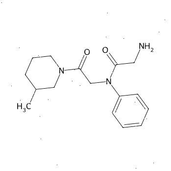 CC1CCCN(C(=O)CN(C(=O)CN)c2ccccc2)C1